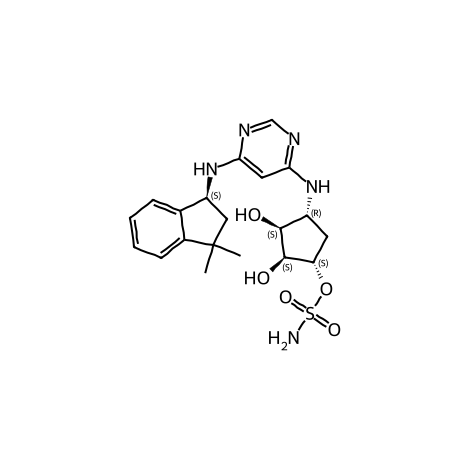 CC1(C)C[C@H](Nc2cc(N[C@@H]3C[C@H](OS(N)(=O)=O)[C@@H](O)[C@H]3O)ncn2)c2ccccc21